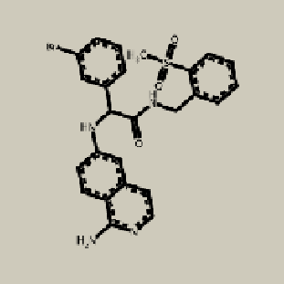 CS(=O)(=O)c1ccccc1CNC(=O)C(Nc1ccc2c(N)nccc2c1)c1cccc(Br)c1